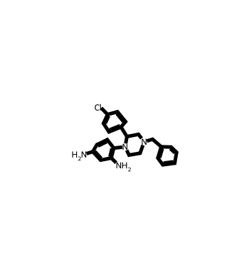 Nc1ccc(N2CCN(Cc3ccccc3)CC2c2ccc(Cl)cc2)c(N)c1